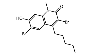 CCCCCc1c(Br)c(=O)n(C)c2cc(O)c(Br)cc12